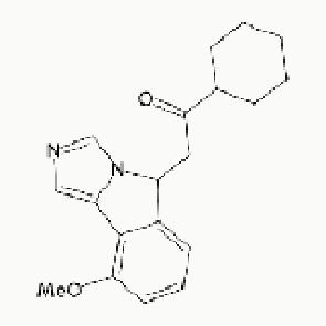 COc1cccc2c1-c1cncn1C2CC(=O)C1CCCCC1